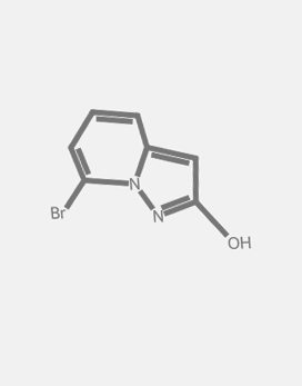 Oc1cc2cccc(Br)n2n1